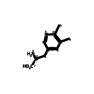 Cc1cc(C[C@H](N)C(=O)O)cnc1C